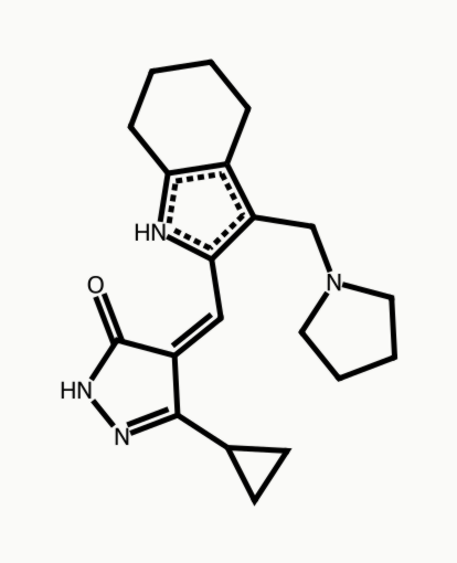 O=C1NN=C(C2CC2)C1=Cc1[nH]c2c(c1CN1CCCC1)CCCC2